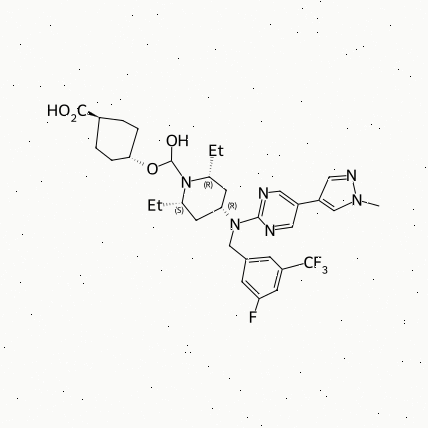 CC[C@@H]1C[C@H](N(Cc2cc(F)cc(C(F)(F)F)c2)c2ncc(-c3cnn(C)c3)cn2)C[C@H](CC)N1C(O)O[C@H]1CC[C@H](C(=O)O)CC1